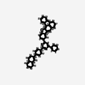 c1ccc(-c2cc(-c3ccc4oc5c6c7c(cccc7cc5c4c3)-c3ccccc3-6)nc(-c3ccc(-c4ccc5ccccc5c4)cc3)n2)cc1